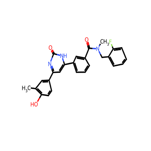 Cc1cc(-c2cc(-c3cccc(C(=O)N(C)Cc4ccccc4F)c3)[nH]c(=O)n2)ccc1O